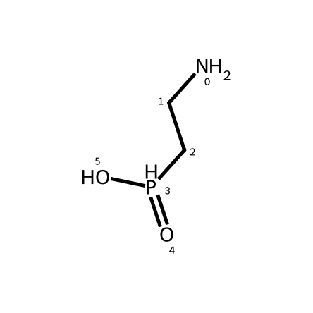 NCC[PH](=O)O